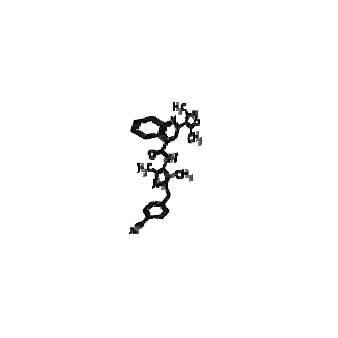 Cc1nn(Cc2ccc(C#N)cc2)c(C)c1NC(=O)c1cc(-c2c(C)noc2C)nc2ccccc12